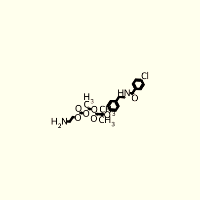 CC(OC(=O)OCCN)OC(=O)C(C)(C)Oc1ccc(CCNC(=O)c2ccc(Cl)cc2)cc1